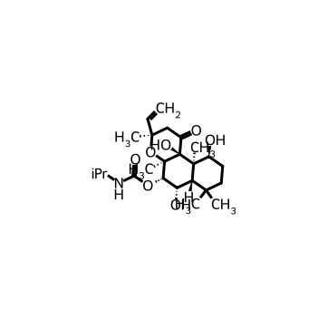 C=C[C@@]1(C)CC(=O)[C@]2(O)[C@@]3(C)[C@@H](O)CCC(C)(C)[C@@H]3[C@H](O)[C@H](OC(=O)NC(C)C)[C@@]2(C)O1